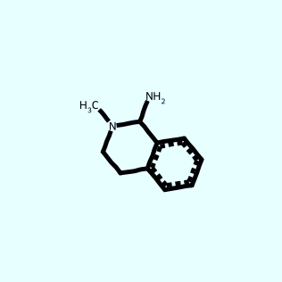 CN1CCc2ccccc2C1N